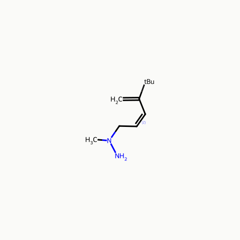 C=C(/C=C\CN(C)N)C(C)(C)C